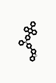 c1ccc(-c2c3ccccc3c(-c3ccc(N(c4ccccc4)c4ccc(-c5ccc6oc7ccccc7c6c5)cc4)cc3)c3ccccc23)cc1